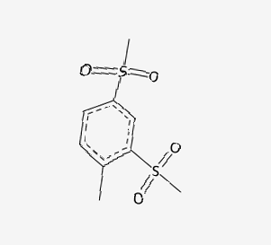 Cc1ccc(S(C)(=O)=O)cc1S(C)(=O)=O